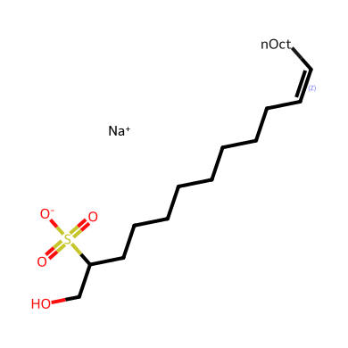 CCCCCCCC/C=C\CCCCCCCCC(CO)S(=O)(=O)[O-].[Na+]